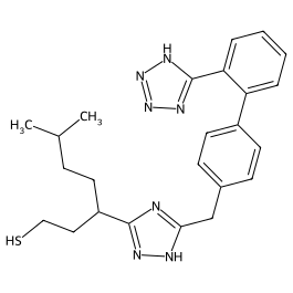 CC(C)CCC(CCS)c1n[nH]c(Cc2ccc(-c3ccccc3-c3nnn[nH]3)cc2)n1